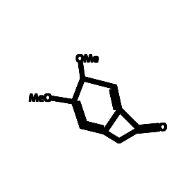 COC1=C=C2CC(=O)C2=CC1OC